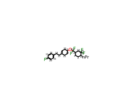 CCCC1CCC(C(F)(F)OC2CCC(CCc3ccc(F)cc3)CC2)CC1(F)F